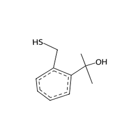 CC(C)(O)c1ccccc1CS